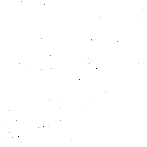 C=CCOc1ccncc1OCC=C